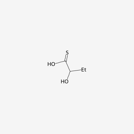 CCC(O)C(O)=S